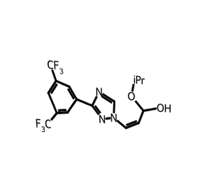 CC(C)OC(O)/C=C\n1cnc(-c2cc(C(F)(F)F)cc(C(F)(F)F)c2)n1